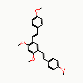 COc1ccc(C=Cc2cc(C=Cc3ccc(OC)cc3)c(OC)cc2OC)cc1